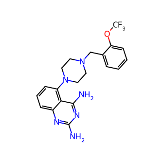 Nc1nc(N)c2c(N3CCN(Cc4ccccc4OC(F)(F)F)CC3)cccc2n1